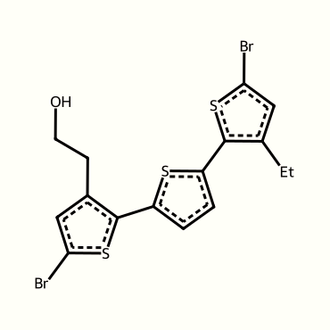 CCc1cc(Br)sc1-c1ccc(-c2sc(Br)cc2CCO)s1